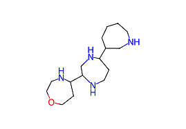 C1CCC(C2CCNC(C3CCOCCN3)CN2)CNC1